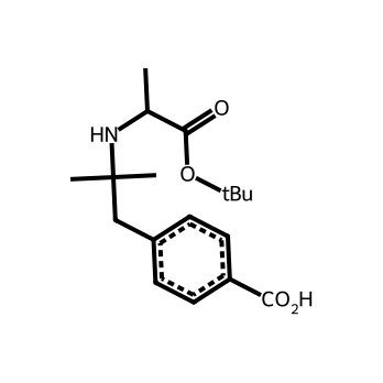 CC(NC(C)(C)Cc1ccc(C(=O)O)cc1)C(=O)OC(C)(C)C